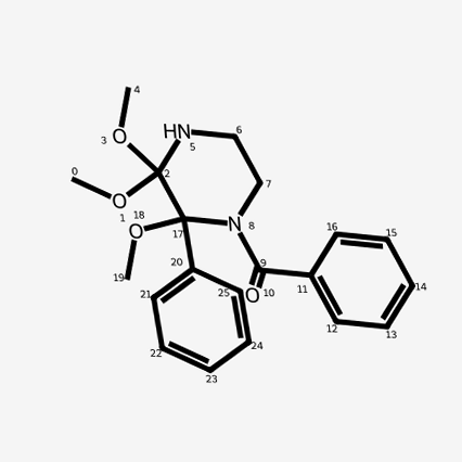 COC1(OC)NCCN(C(=O)c2ccccc2)C1(OC)c1ccccc1